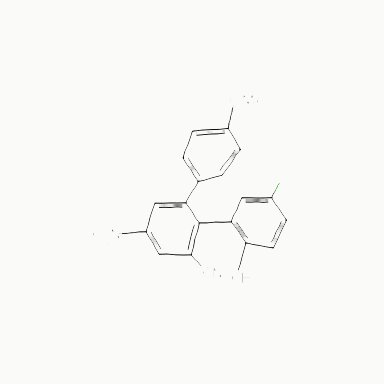 COc1ccc(-c2cc([N+](=O)[O-])cc(C#N)c2-c2cc(Cl)ccc2C)cc1